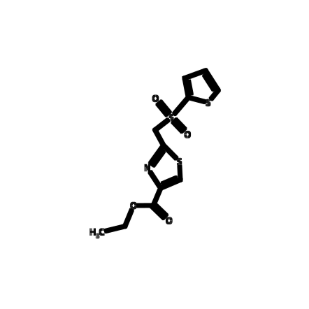 CCOC(=O)c1csc(CS(=O)(=O)c2cccs2)n1